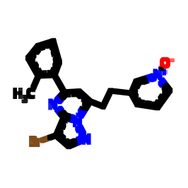 Cc1ccccc1-c1cc(CCc2ccc[n+]([O-])c2)n2ncc(Br)c2n1